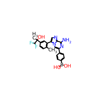 Cc1ccc(C(C)(O)C(F)F)cc1-c1cnc2c(N)nc(-c3ccc(B(O)O)cc3)cn12